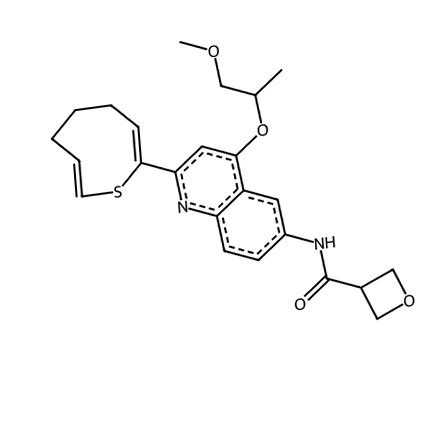 COCC(C)Oc1cc(/C2=C/CCC/C=C/S2)nc2ccc(NC(=O)C3COC3)cc12